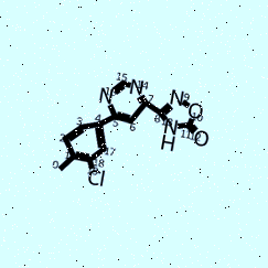 Cc1ccc(-c2cc(-c3noc(=O)[nH]3)ncn2)cc1Cl